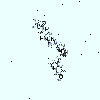 C=C(/C=C\C(=C/N)c1ccc2nnc(COc3ccnc4cc(OC)ccc34)n2n1)NC1CCN(C(=O)OC(C)(C)C)C1